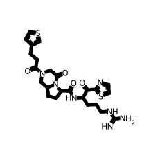 N=C(N)NCCCC(NC(=O)C1CCC2CN(C(=O)CCc3ccsc3)CC(=O)N21)C(=O)c1nccs1